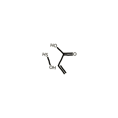 C=CC(=O)O.OS